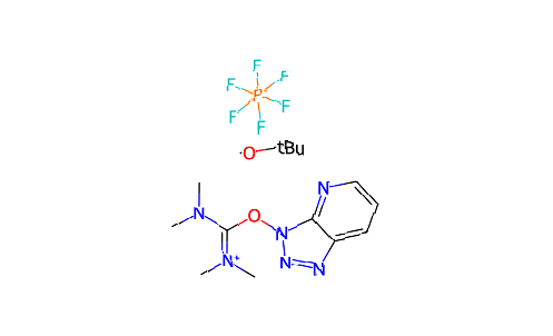 CC(C)(C)[O].CN(C)C(On1nnc2cccnc21)=[N+](C)C.F[P-](F)(F)(F)(F)F